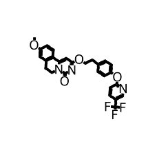 COc1ccc2c(c1)CCn1c-2cc(OCCc2ccc(Oc3ccc(C(F)(F)F)cn3)cc2)nc1=O